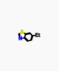 CCc1ccc2ncsc2c1